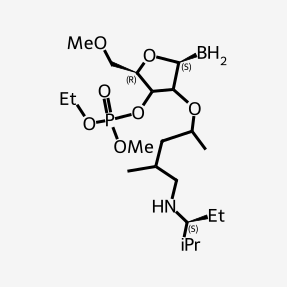 B[C@@H]1O[C@H](COC)C(OP(=O)(OC)OCC)C1OC(C)CC(C)CN[C@@H](CC)C(C)C